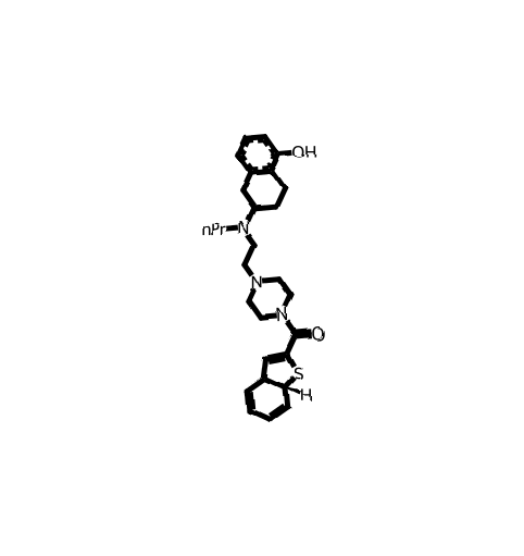 CCCN(CCN1CCN(C(=O)C2=CC3C=CC=C[C@H]3S2)CC1)C1CCc2c(O)cccc2C1